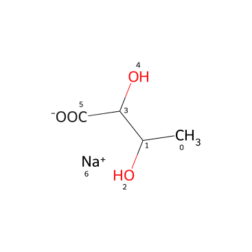 CC(O)C(O)C(=O)[O-].[Na+]